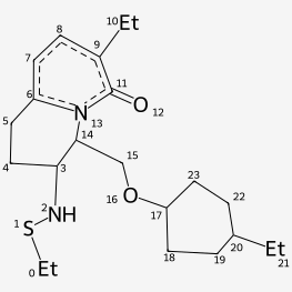 CCSNC1CCc2ccc(CC)c(=O)n2C1COC1CCC(CC)CC1